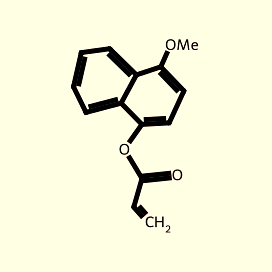 C=CC(=O)Oc1ccc(OC)c2ccccc12